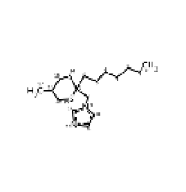 CCCCCCCC1(Cn2ccnc2)SCC(C)CS1